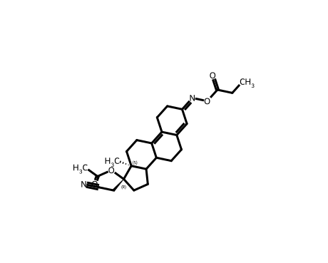 CCC(=O)ON=C1C=C2CCC3C(=C2CC1)CC[C@@]1(C)C3CC[C@]1(CC#N)OC(C)=O